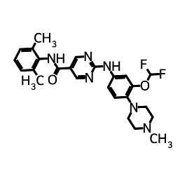 Cc1cccc(C)c1NC(=O)c1cnc(Nc2ccc(N3CCN(C)CC3)c(OC(F)F)c2)nc1